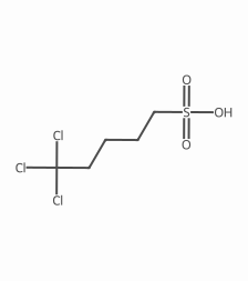 O=S(=O)(O)CCCCC(Cl)(Cl)Cl